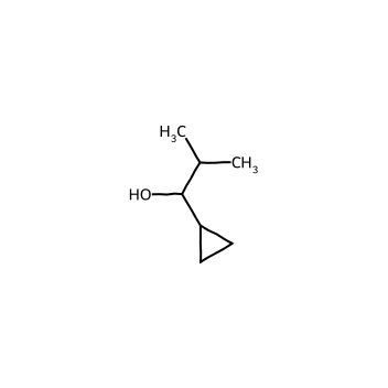 CC(C)C(O)C1CC1